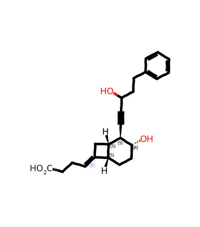 O=C(O)CC/C=C1\C[C@@H]2[C@@H](C#CC(O)CCc3ccccc3)[C@H](O)CC[C@H]12